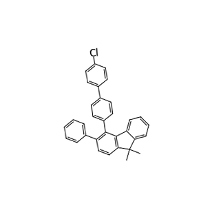 CC1(C)c2ccccc2-c2c1ccc(-c1ccccc1)c2-c1ccc(-c2ccc(Cl)cc2)cc1